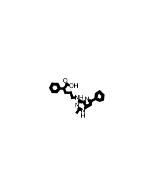 Cc1nc(NCCCC(C(=O)O)c2ccccc2)c2nc(-c3ccccc3)cc-2[nH]1